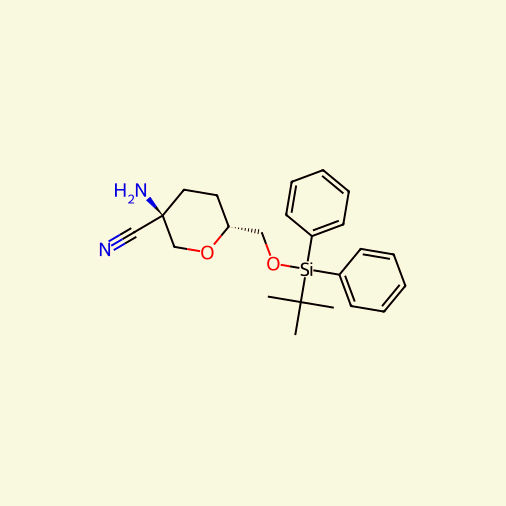 CC(C)(C)[Si](OC[C@H]1CC[C@@](N)(C#N)CO1)(c1ccccc1)c1ccccc1